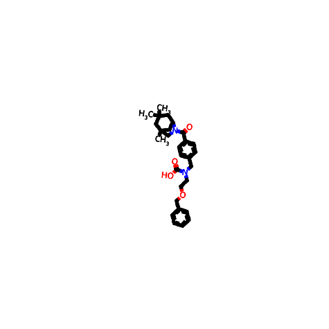 CC1(C)CC2CC(C)(CN2C(=O)c2ccc(CN(CCOCc3ccccc3)C(=O)O)cc2)C1